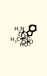 CC(C)(C)N(C(=O)O)[C@@H]1Cc2ccccc2[C@@H]1C(N)=O